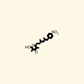 CC(=C\c1ccc([N+](=O)[O-])cc1)/C=C(\C)CCc1oc(O)c(C)c(=O)c1C